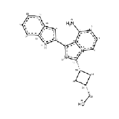 Nc1nccn2c1c(-c1cc3ccccc3[nH]1)nc2[C@H]1C[C@@H](CO)C1